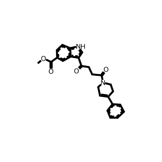 COC(=O)c1ccc2[nH]cc(C(=O)CCC(=O)N3CC=C(c4ccccc4)CC3)c2c1